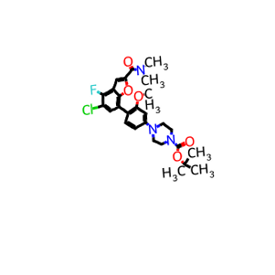 COc1cc(N2CCN(C(=O)OC(C)(C)C)CC2)ccc1-c1cc(Cl)c(F)c2cc(C(=O)N(C)C)oc12